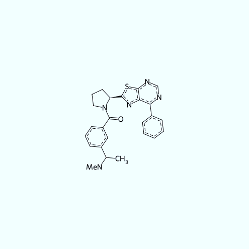 CNC(C)c1cccc(C(=O)N2CCC[C@H]2c2nc3c(-c4ccccc4)ncnc3s2)c1